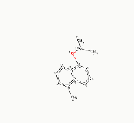 C[SiH](C)Oc1[c]ccc2c(C(C)(C)C)cccc12